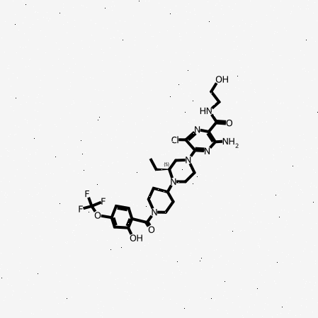 CC[C@H]1CN(c2nc(N)c(C(=O)NCCO)nc2Cl)CCN1C1CCN(C(=O)c2ccc(OC(F)(F)F)cc2O)CC1